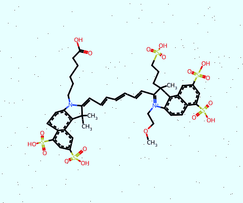 COCC[N+]1=C(/C=C/C=C/C=C/C=C2/N(CCCCCC(=O)O)c3ccc4c(S(=O)(=O)O)cc(S(=O)(=O)O)cc4c3C2(C)C)C(C)(CCCS(=O)(=O)O)c2c1ccc1c(S(=O)(=O)O)cc(S(=O)(=O)O)cc21